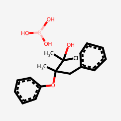 CC(C)(O)C(C)(Cc1ccccc1)Oc1ccccc1.OB(O)O